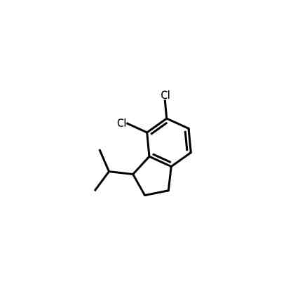 CC(C)C1CCc2ccc(Cl)c(Cl)c21